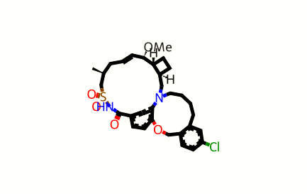 CO[C@H]1/C=C/C[C@H](C)CS(=O)(=O)NC(=O)c2ccc3c(c2)N(CCCCc2cc(Cl)ccc2CO3)C[C@@H]2CC[C@H]21